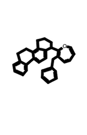 C1=COC(C2CCCc3c2ccc2c3CCc3ccccc3-2)=C(Cc2ccccc2)C=C1